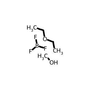 CCOCC.CO.FB(F)F